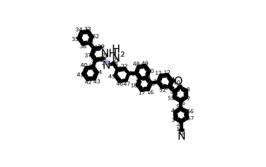 N#Cc1ccc(-c2ccc3oc4ccc(-c5cccc6c(C7C=C(C(N)/N=c8\[nH]cc(-c9ccccc9)cc8-c8ccccc8)C=CC7)cccc56)cc4c3c2)cc1